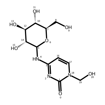 O=c1nc(NC2O[C@H](CO)[C@@H](O)[C@H](O)[C@H]2O)ccn1CO